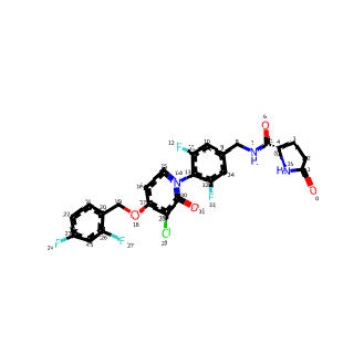 O=C1CC[C@@H](C(=O)NCc2cc(F)c(-n3ccc(OCc4ccc(F)cc4F)c(Cl)c3=O)c(F)c2)N1